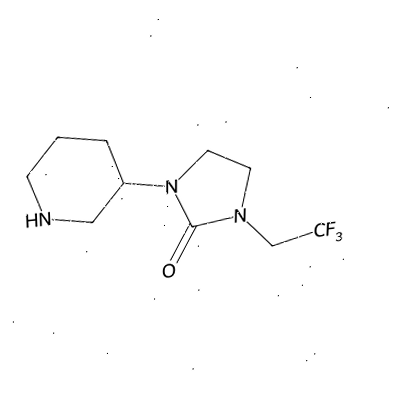 O=C1N(CC(F)(F)F)CCN1C1CCCNC1